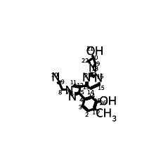 Cc1ccc(-c2nn(CC#N)cc2-c2ccnc(N3CC(O)C3)n2)cc1O